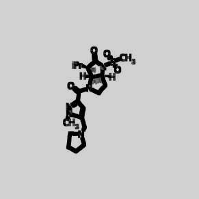 CC(C)[C@H]1C(=O)N(S(C)(=O)=O)[C@H]2CCN(C(=O)c3cc(CN4CCCC4)n(C)n3)[C@H]12